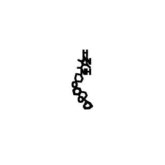 Cc1n[nH]c(C)c1C(C)NC1CCC(Oc2ccc3c(c2)CCC(c2ccccc2)O3)CC1